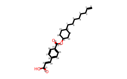 C=CCCCCCCC1CCC(OC(=O)c2ccc(C=CC(=O)O)cc2)CC1